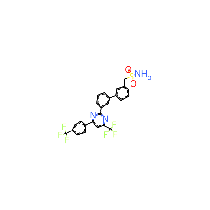 NS(=O)(=O)Cc1cccc(-c2cccc(-c3nc(-c4ccc(C(F)(F)F)cc4)cc(C(F)(F)F)n3)c2)c1